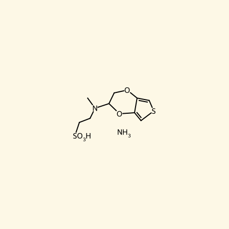 CN(CCS(=O)(=O)O)C1COc2cscc2O1.N